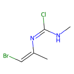 CN/C(Cl)=N\C(C)=C/Br